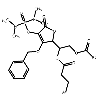 CCC(=O)OCC(OC(=O)CCC(C)=O)C1OC(=O)C(OP(=O)(N(C)C)N(C)C)=C1OCc1ccccc1